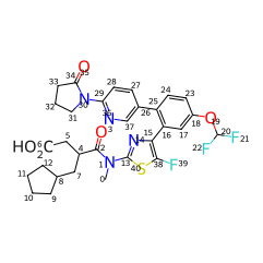 CN(C(=O)C(CC(=O)O)CC1CCCC1)c1nc(-c2cc(OC(F)F)ccc2-c2ccc(N3CCCC3=O)nc2)c(F)s1